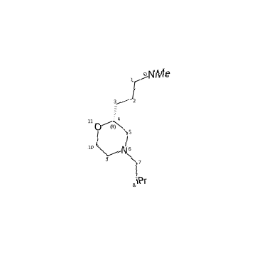 CNCCC[C@@H]1CN(CC(C)C)CCO1